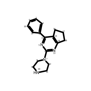 c1ccc(-c2nc(N3CCNCC3)nc3c2CCC3)cc1